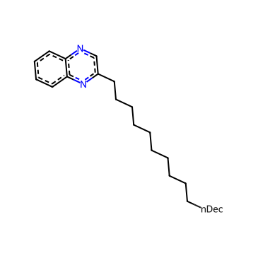 CCCCCCCCCCCCCCCCCCCCc1cnc2ccccc2n1